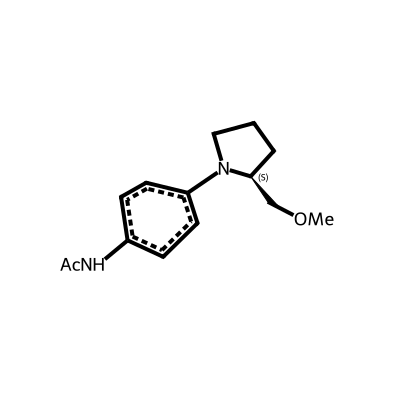 COC[C@@H]1CCCN1c1ccc(NC(C)=O)cc1